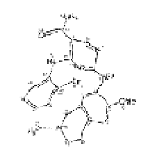 COc1cc2c(cc1Nc1ncc(C(N)=O)c(Nc3ccccc3C(F)(F)F)n1)CN(C)CC2